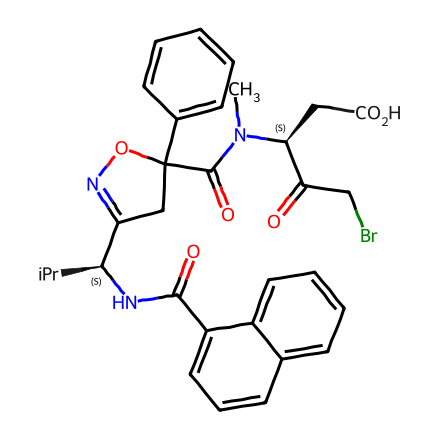 CC(C)[C@H](NC(=O)c1cccc2ccccc12)C1=NOC(C(=O)N(C)[C@@H](CC(=O)O)C(=O)CBr)(c2ccccc2)C1